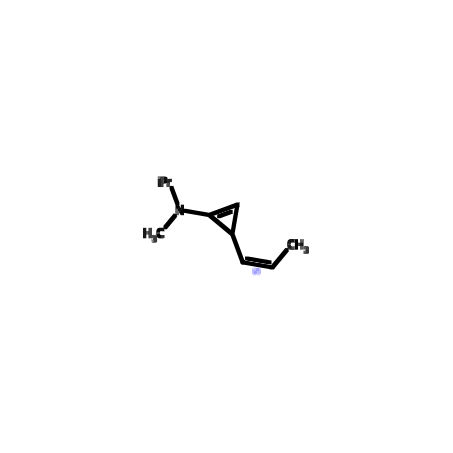 C/C=C\C1C=C1N(C)C(C)C